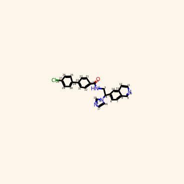 O=C(NCC(c1ccc2cnccc2c1)n1ccnc1)c1ccc(-c2ccc(Cl)cc2)cc1